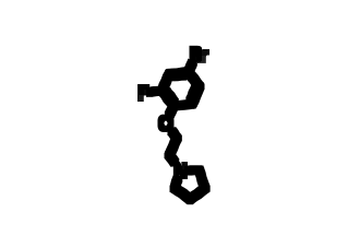 Fc1cc(Br)ccc1OCCN1CCCC1